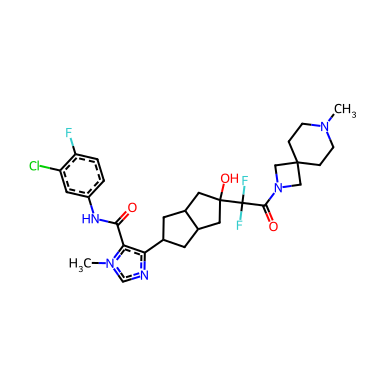 CN1CCC2(CC1)CN(C(=O)C(F)(F)C1(O)CC3CC(c4ncn(C)c4C(=O)Nc4ccc(F)c(Cl)c4)CC3C1)C2